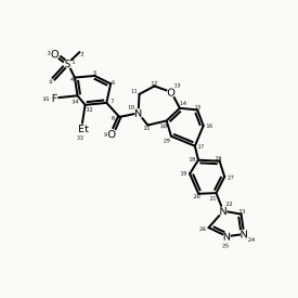 C=S(C)(=O)c1ccc(C(=O)N2CCOc3ccc(-c4ccc(-n5cnnc5)cc4)cc3C2)c(CC)c1F